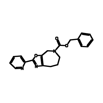 O=C(OCc1ccccc1)N1CCCc2nc(-c3ccccn3)oc2C1